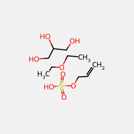 C=CCOS(=O)(=O)O.CCOCC.OCC(O)CO